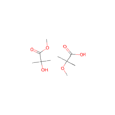 COC(=O)C(C)(C)O.COC(C)(C)C(=O)O